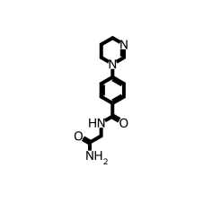 NC(=O)CNC(=O)c1ccc(N2C=NCCC2)cc1